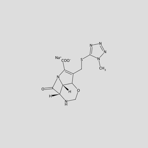 Cn1nnnc1SCC1=C(C(=O)[O-])N2C(=O)[C@H]3NCOC1[C@H]32.[Na+]